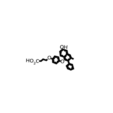 Cc1cc2cc(O)ccc2c(Oc2ccc(OCCCC(=O)O)cc2)c1-c1ccccc1